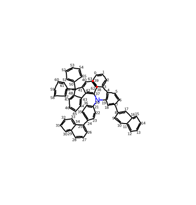 c1ccc(-c2ccc(-c3ccc4ccccc4c3)cc2N(c2ccc(-c3cccc4ccccc34)cc2)c2cccc3c2-c2ccccc2C3(c2ccccc2)c2ccccc2)cc1